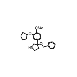 COc1ccc(C2(OCc3ccncc3)CCNC2)cc1OC1CCCC1